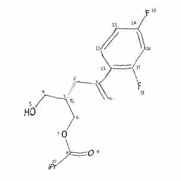 C=C(C[C@@H](CO)COC(=O)C(C)C)c1ccc(F)cc1F